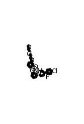 COCCOCCOc1cccc(S(=O)(=O)Nc2ccccc2N2CCC(c3ccc(Cl)cc3F)CC2)c1